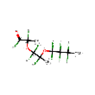 COC(F)(F)C(F)(F)C(F)(F)OC(F)(C(F)(F)F)C(F)(F)OC(F)(C(=O)F)C(F)(F)F